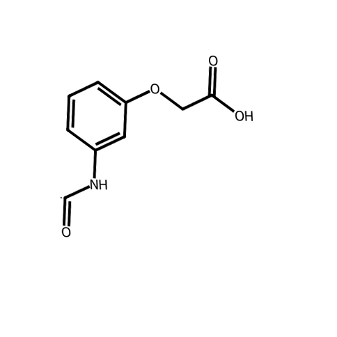 O=[C]Nc1cccc(OCC(=O)O)c1